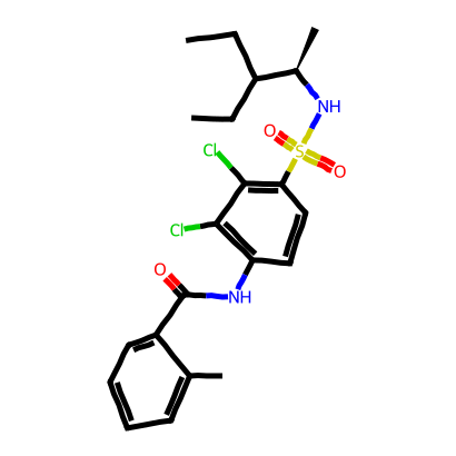 CCC(CC)[C@@H](C)NS(=O)(=O)c1ccc(NC(=O)c2ccccc2C)c(Cl)c1Cl